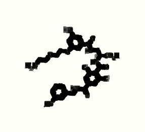 NCCOCCOc1cc(O)cc(C(=O)NC[C@H](NC(=O)c2c(Cl)cc(C(=O)NCc3cccc(O)c3)cc2Cl)C(=O)O)c1